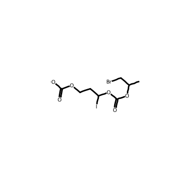 CC(CBr)OC(=O)OC(I)CCOC([O])=O